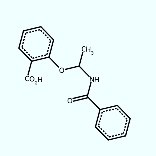 CC(NC(=O)c1ccccc1)Oc1ccccc1C(=O)O